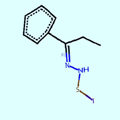 CC/C(=N\NSI)c1ccccc1